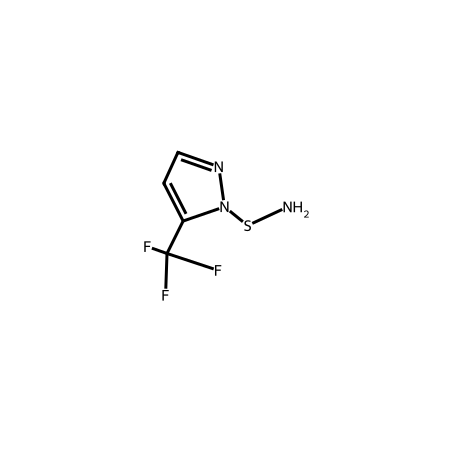 NSn1nccc1C(F)(F)F